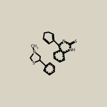 CN1CSC(c2ccccc2)C1.S=c1nc(C2=CCCC=C2)c2ccccc2[nH]1